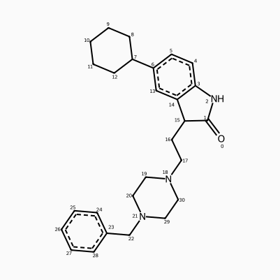 O=C1Nc2ccc(C3CCCCC3)cc2C1CCN1CCN(Cc2ccccc2)CC1